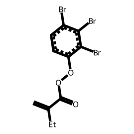 C=C(CC)C(=O)OOc1ccc(Br)c(Br)c1Br